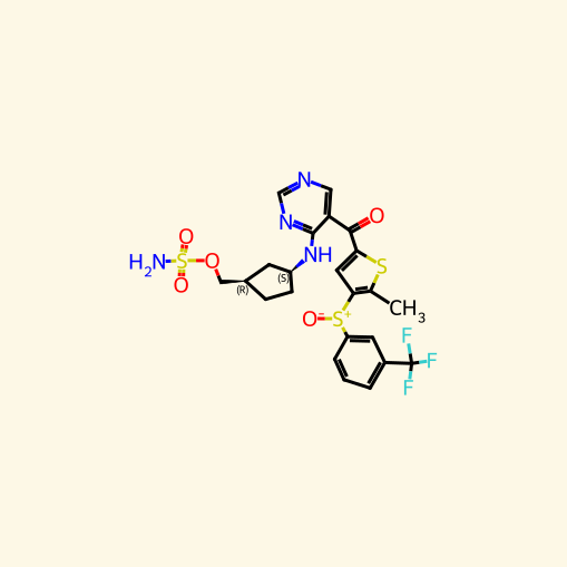 Cc1sc(C(=O)c2cncnc2N[C@H]2CC[C@@H](COS(N)(=O)=O)C2)cc1[S+]([O-])c1cccc(C(F)(F)F)c1